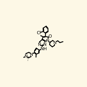 CCCN1CCC[C@H](n2c(=O)c(-c3ccccc3Cl)c(C)c3cnc(Nc4ccc(N5CCN(C)[C@@H](C)C5)c(C)c4)nc32)C1